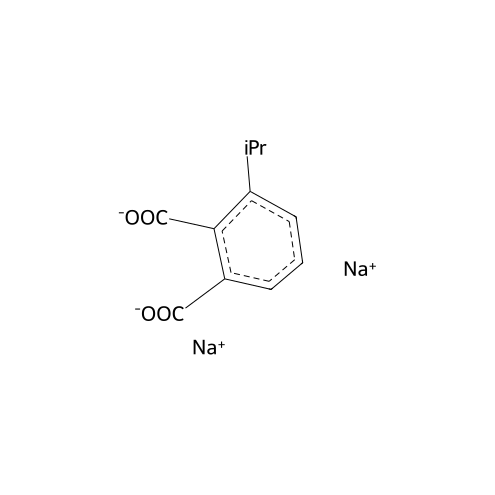 CC(C)c1cccc(C(=O)[O-])c1C(=O)[O-].[Na+].[Na+]